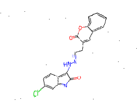 O=C1N=c2cc(Cl)ccc2=C1N/N=C/Cc1cc2ccccc2oc1=O